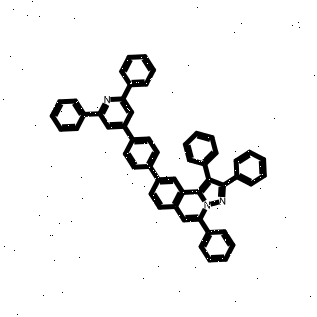 c1ccc(-c2cc(-c3ccc(-c4ccc5cc(-c6ccccc6)n6nc(-c7ccccc7)c(-c7ccccc7)c6c5c4)cc3)cc(-c3ccccc3)n2)cc1